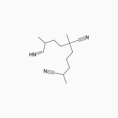 CC(C#N)CCCC(C)(C#N)CCC(C)C=N